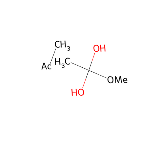 CC(C)=O.COC(C)(O)O